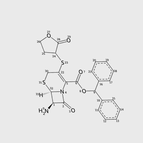 N[C@@H]1C(=O)N2C(C(=O)OC(c3ccccc3)c3ccccc3)=C(SC3CCOC3=O)CS[C@H]12